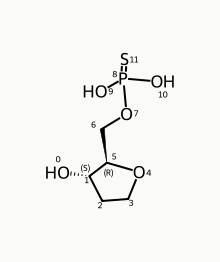 O[C@H]1CCO[C@@H]1COP(O)(O)=S